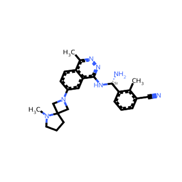 Cc1c(C#N)cccc1[C@@H](N)Nc1nnc(C)c2ccc(N3CC4(CCCN4C)C3)cc12